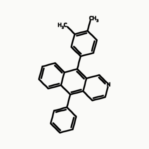 Cc1ccc(-c2c3ccccc3c(-c3ccccc3)c3ccncc23)cc1C